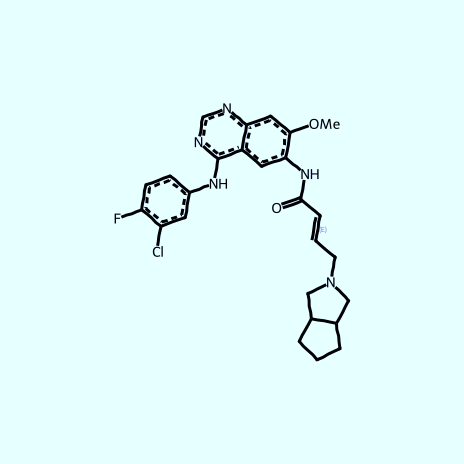 COc1cc2ncnc(Nc3ccc(F)c(Cl)c3)c2cc1NC(=O)/C=C/CN1CC2CCCC2C1